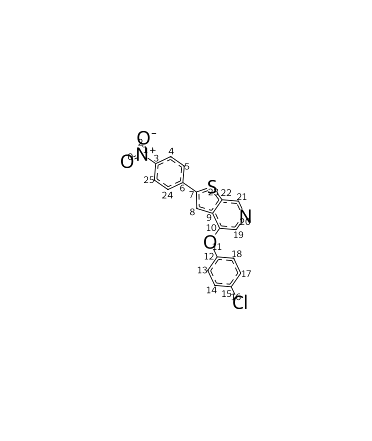 O=[N+]([O-])c1ccc(-c2cc3c(Oc4ccc(Cl)cc4)cncc3s2)cc1